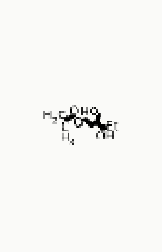 C=C(C)C(=O)OCCC(CO)C(O)CC